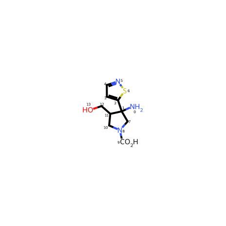 NC1(c2ccns2)CN(C(=O)O)CC1CO